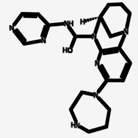 OC(Nc1ccncn1)N1c2nc(N3CCCNCC3)ccc2N2CCC[C@H]1C2